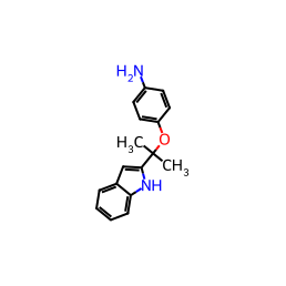 CC(C)(Oc1ccc(N)cc1)c1cc2ccccc2[nH]1